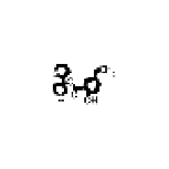 C=Cc1ccc(O)c(C(=O)OC2(c3cccs3)CCOC2)c1